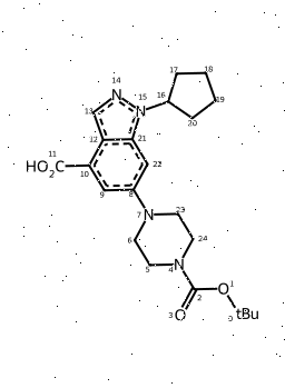 CC(C)(C)OC(=O)N1CCN(c2cc(C(=O)O)c3cnn(C4CCCC4)c3c2)CC1